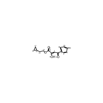 Cc1ccc(C(=O)/C=C(\O)C(=O)OCCC2CC2)cc1